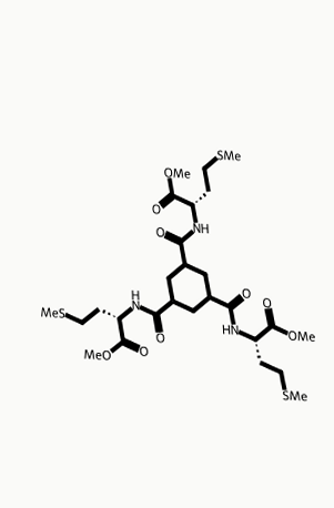 COC(=O)[C@H](CCSC)NC(=O)C1CC(C(=O)N[C@@H](CCSC)C(=O)OC)CC(C(=O)N[C@@H](CCSC)C(=O)OC)C1